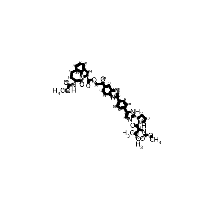 COC(=O)NC(C(=O)N1CCC[C@H]1c1ncc(-c2ccc(-c3cnc4cc(C(=O)COC(=O)[C@@H]5Cc6cccc7c6N5C(=O)[C@@H](NC(=O)OC)CC7)ccc4n3)cc2)[nH]1)C(C)C